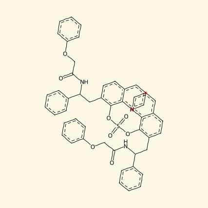 O=C(COc1ccccc1)NC(Cc1ccc2cccnc2c1OS(=O)(=O)Oc1c(CC(NC(=O)COc2ccccc2)c2ccccc2)ccc2cccnc12)c1ccccc1